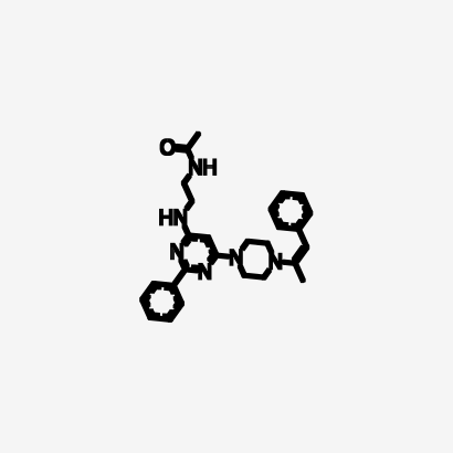 CC(=O)NCCNc1cc(N2CCN(/C(C)=C\c3ccccc3)CC2)nc(-c2ccccc2)n1